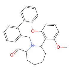 COc1cccc(OC)c1C1CCCCC(C=O)N1Cc1ccccc1-c1ccccc1